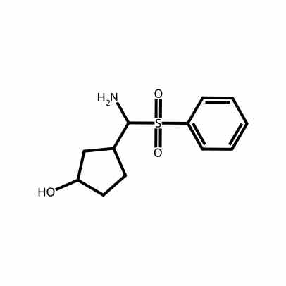 NC(C1CCC(O)C1)S(=O)(=O)c1ccccc1